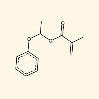 C=C(C)C(=O)OC(C)Oc1cc[c]cc1